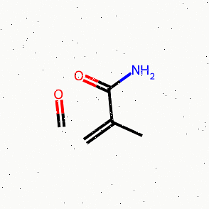 C=C(C)C(N)=O.C=O